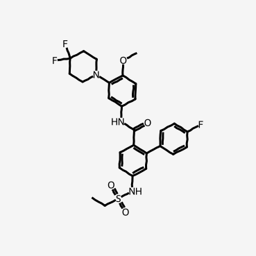 CCS(=O)(=O)Nc1ccc(C(=O)Nc2ccc(OC)c(N3CCC(F)(F)CC3)c2)c(-c2ccc(F)cc2)c1